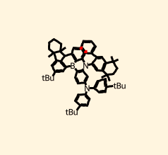 Cc1cc2c3c(c1)N(c1cc4c(cc1-c1ccccc1)C(C)(C)CCC4(C)C)c1cc(N(c4ccc(C(C)(C)C)cc4)c4ccc(C(C)(C)C)cc4)ccc1B3c1cc(C(C)(C)C)cc3c1C2C1(C)CCCCC31C